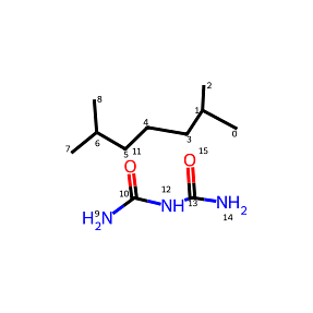 CC(C)CCCC(C)C.NC(=O)NC(N)=O